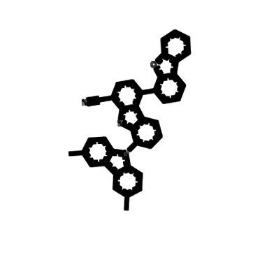 Cc1ccc2c(c1)c1cc(C)ccc1n2-c1cccc2c1sc1c(C#N)ccc(-c3cccc4c3oc3ccccc34)c12